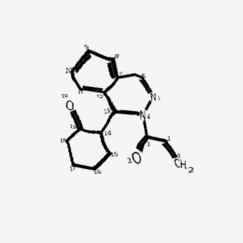 C=CC(=O)N1N=Cc2ccccc2C1C1CCCCC1=O